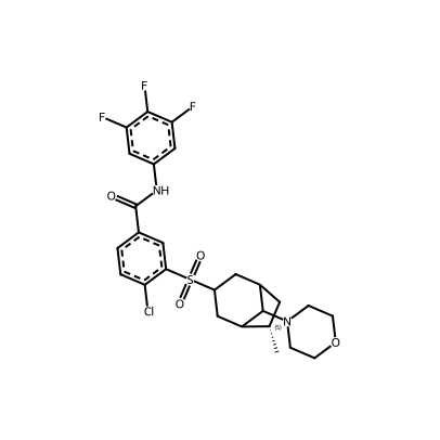 C[C@H]1CC2CC(S(=O)(=O)c3cc(C(=O)Nc4cc(F)c(F)c(F)c4)ccc3Cl)CC1C2N1CCOCC1